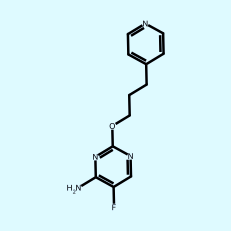 Nc1nc(OCCCc2ccncc2)ncc1F